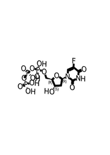 O=c1[nH]c(=O)n([C@H]2C[C@H](O)[C@@H](COP(=O)(O)OP(=O)(O)OP(=O)(O)O)O2)cc1F